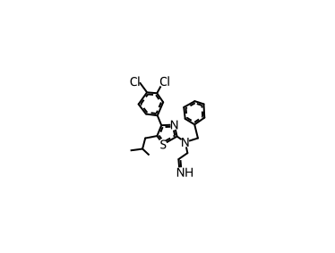 CC(C)Cc1sc(N(CC=N)Cc2ccccc2)nc1-c1ccc(Cl)c(Cl)c1